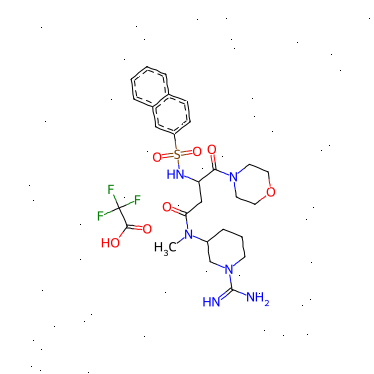 CN(C(=O)CC(NS(=O)(=O)c1ccc2ccccc2c1)C(=O)N1CCOCC1)C1CCCN(C(=N)N)C1.O=C(O)C(F)(F)F